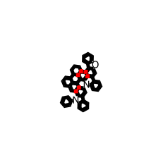 c1ccc(-n2c3ccccc3c3cc(N(c4ccccc4-c4ccc5c(c4)oc4ccccc45)c4ccccc4-c4cccc5cccc(C6CCCCC6)c45)ccc32)cc1